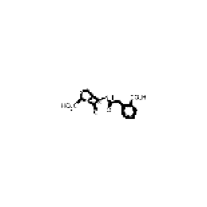 O=C(Cc1ccccc1C(=O)O)N[C@H]1C(=O)N2C(C(=O)O)SCC12